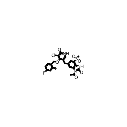 CC(=O)n1c(=O)[nH]c2c(S(C)(=O)=O)cc(Cc3c[nH]c(=O)c(Cl)c3OCc3ccc(F)cc3F)cc21